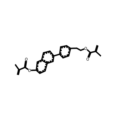 C=C(C)C(=O)OCCc1ccc(-c2ccc3cc(OC(=O)C(=C)C)ccc3c2)cc1